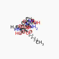 CCCCCCCC(=O)OC[C@H]1O[C@H](O)[C@H](NC(C)=O)[C@@H](OC(C)CN(C(=O)[C@H](C)N)[C@H](CCC(=O)O)C(N)=O)[C@@H]1O